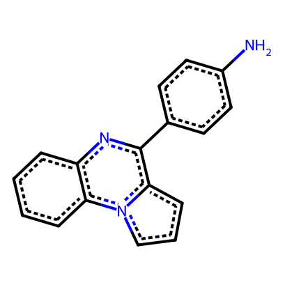 Nc1ccc(-c2nc3ccccc3n3cccc23)cc1